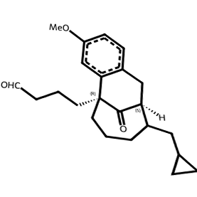 COc1ccc2c(c1)[C@]1(CCCC=O)CCCC(CC3CC3)[C@H](C2)C1=O